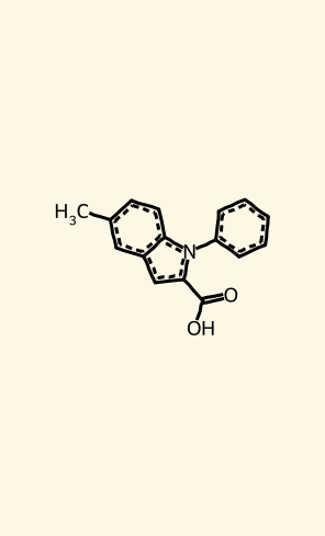 Cc1ccc2c(c1)cc(C(=O)O)n2-c1ccccc1